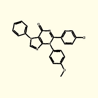 COc1ccc(-n2c(-c3ccc(Cl)cc3)nc(=O)c3c2ncn3-c2ccccc2)cc1